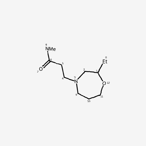 CCC1CN(CCC(=O)NC)CCCO1